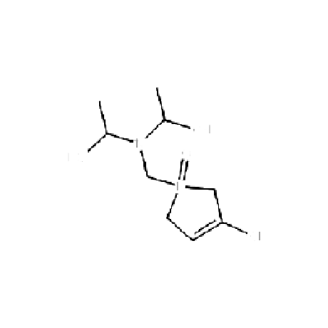 CC(O)N(CP1(=O)CC=C(Cl)C1)C(C)O